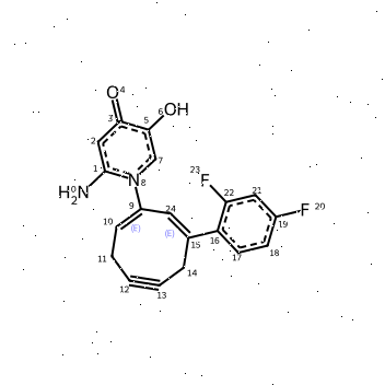 Nc1cc(=O)c(O)cn1C1=C/CC#CC/C(c2ccc(F)cc2F)=C\1